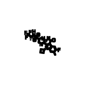 Cc1cc2c(cc1F)c(C(N)=O)c(-c1ccc(S(=O)(=O)N[C@H](C)C(F)(F)F)cn1)n2C1CCC1